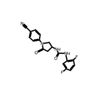 N#Cc1ccc(N2CC(NC(=O)Nc3cc(F)ccc3F)CC2=O)cc1